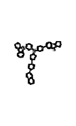 c1cc(N(c2ccc(-c3ccc(-c4ccc5ccccc5c4)cc3)cc2)c2ccc(-c3ccc4c(c3)sc3ccccc34)cc2)cc(-n2c3ccccc3c3ccccc32)c1